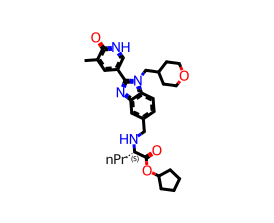 CCC[C@H](NCc1ccc2c(c1)nc(-c1c[nH]c(=O)c(C)c1)n2CC1CCOCC1)C(=O)OC1CCCC1